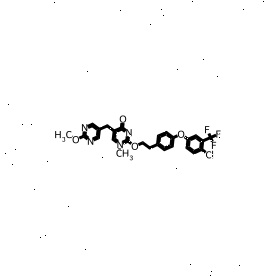 COc1ncc(Cc2cn(C)c(OCCc3ccc(Oc4ccc(Cl)c(C(F)(F)F)c4)cc3)nc2=O)cn1